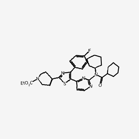 CCOC(=O)N1CCC(c2nc(-c3ccc(F)cc3)c(-c3ccnc(N(C(=O)C4CCCCC4)C4CCCCC4)n3)s2)CC1